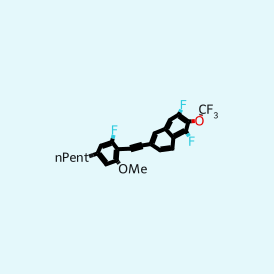 CCCCCc1cc(F)c(C#Cc2ccc3c(F)c(OC(F)(F)F)c(F)cc3c2)c(OC)c1